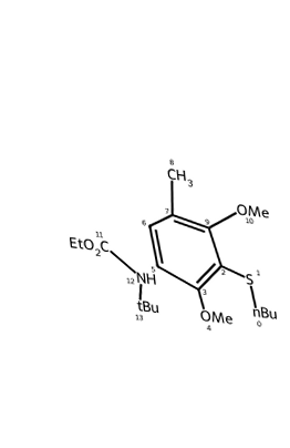 CCCCSc1c(OC)ccc(C)c1OC.CCOC(=O)NC(C)(C)C